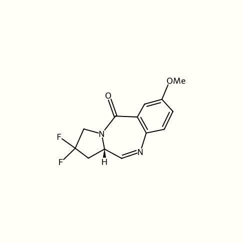 COc1ccc2c(c1)C(=O)N1CC(F)(F)C[C@H]1C=N2